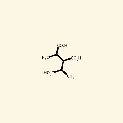 [CH2]C(C(=O)O)C(C(=O)O)C(C)C(=O)O